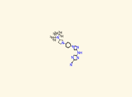 [2H]C([2H])([2H])N(C1CCN(c2ccc(-n3cnc(Nc4cnc(C#N)cn4)c3)cc2)C1)C([2H])([2H])[2H]